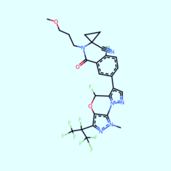 COCCCN(C(=O)c1cc(-c2cnn3c2C(F)Oc2c(C(F)(C(F)(F)F)C(F)(F)F)nn(C)c2-3)ccc1Cl)C1(C#N)CC1